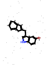 Brc1ccc2[nH]cc(CC3=Cc4ccccc4C3)c2c1